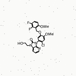 COc1cc(Cl)c(-n2c(=O)n(CCO)c3cccnc32)cc1OCc1c(OC)ccc(F)c1F